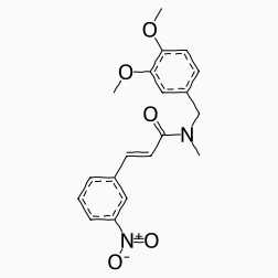 COc1ccc(CN(C)C(=O)C=Cc2cccc([N+](=O)[O-])c2)cc1OC